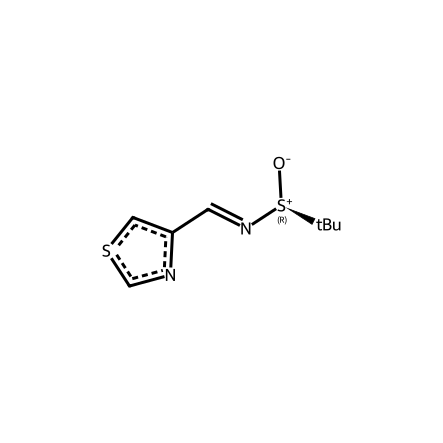 CC(C)(C)[S@+]([O-])N=Cc1cscn1